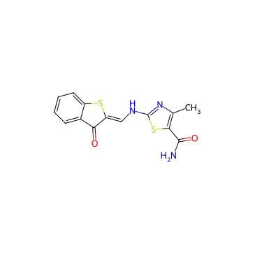 Cc1nc(NC=C2Sc3ccccc3C2=O)sc1C(N)=O